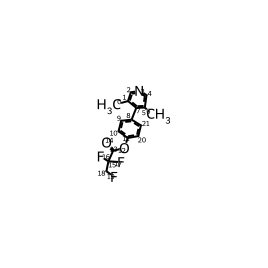 Cc1cncc(C)c1-c1ccc(OC(=O)C(F)(F)CF)cc1